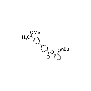 CCCCOc1ccccc1OC(=O)c1ccc(-c2ccc(C(C)OC)cc2)cc1